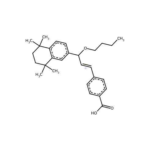 CCCCOC(/C=C/c1ccc(C(=O)O)cc1)c1ccc2c(c1)C(C)(C)CCC2(C)C